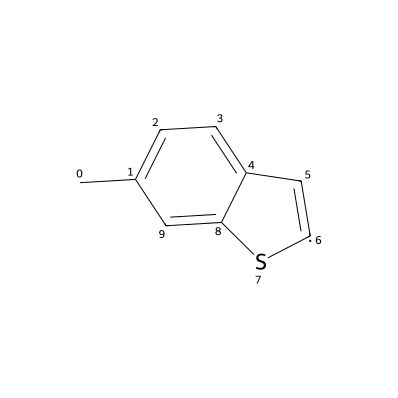 Cc1ccc2c[c]sc2c1